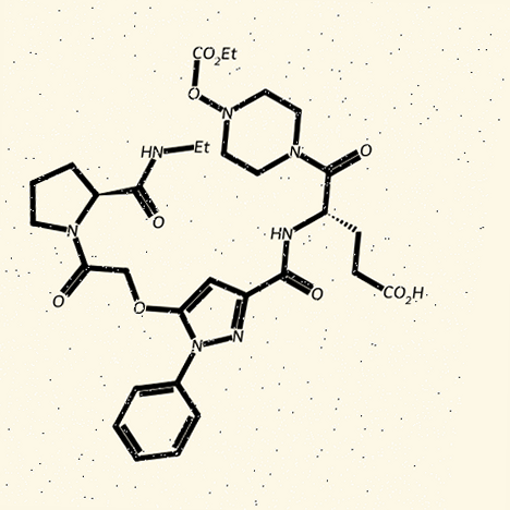 CCNC(=O)[C@@H]1CCCN1C(=O)COc1cc(C(=O)N[C@@H](CCC(=O)O)C(=O)N2CCN(OC(=O)OCC)CC2)nn1-c1ccccc1